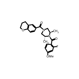 COc1ccc(C(=O)N2[C@H](C)CN(C(=O)c3ccc4c(c3)CCCO4)C[C@H]2C)c(F)c1